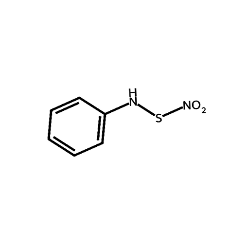 O=[N+]([O-])SNc1ccccc1